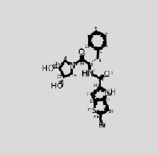 O=C(N[C@@H](Cc1ccccc1)C(=O)N1C[C@@H](O)[C@@H](O)C1)c1cc2sc(Br)cc2[nH]1